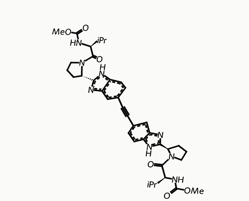 COC(=O)N[C@H](C(=O)N1CCC[C@@H]1c1nc2cc(C#Cc3ccc4[nH]c([C@@H]5CCCN5C(=O)[C@@H](NC(=O)OC)C(C)C)nc4c3)ccc2[nH]1)C(C)C